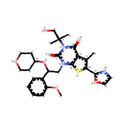 COc1ccccc1C(Cn1c(=O)n(C(C)(C)CO)c(=O)c2c(C)c(-c3ncco3)sc21)OC1CCOCC1